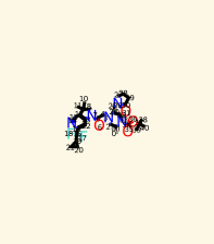 C[C@@H]1CN(CC(=O)N2CC(C)(C)c3cnc(C(F)(F)C4CC4)cc32)[C@@H](CN2CCCC2=O)CN1C(=O)OC(C)(C)C